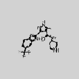 Cc1[nH]nc(-c2nc3ccc(C(F)(F)F)cc3[nH]2)c1C(=O)NC1CCNCC1